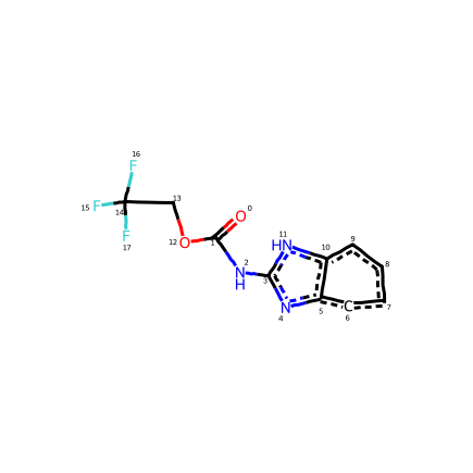 O=C(Nc1nc2ccccc2[nH]1)OCC(F)(F)F